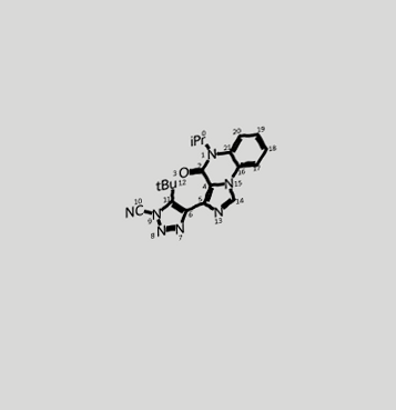 CC(C)n1c(=O)c2c(-c3nnn(C#N)c3C(C)(C)C)ncn2c2ccccc21